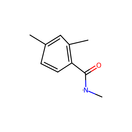 C[N]C(=O)c1ccc(C)cc1C